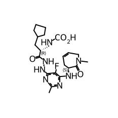 Cc1nc(NNC(=O)[C@@H](CNC(=O)O)CC2CCCC2)c(F)c(N[C@H]2CC=CCN(C)C2=O)n1